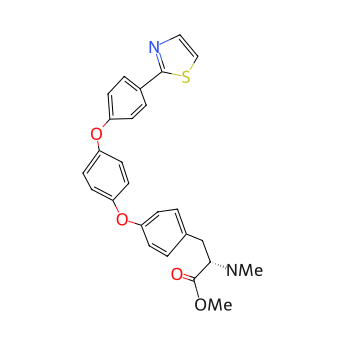 CN[C@@H](Cc1ccc(Oc2ccc(Oc3ccc(-c4nccs4)cc3)cc2)cc1)C(=O)OC